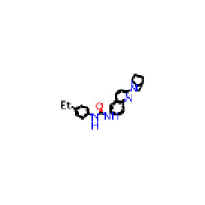 CCc1ccc(NC(=O)Nc2ccc3nc(N4CC5CCC4C5)ccc3c2)cc1